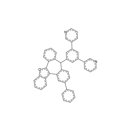 c1ccc(-c2ccc3c(c2)-c2c(oc4ccccc24)-c2ccccc2C3c2cc(-c3cccnc3)cc(-c3cccnc3)c2)cc1